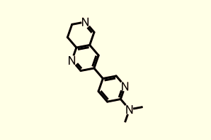 CN(C)c1ccc(-c2cnc3c(c2)C=NCC3)cn1